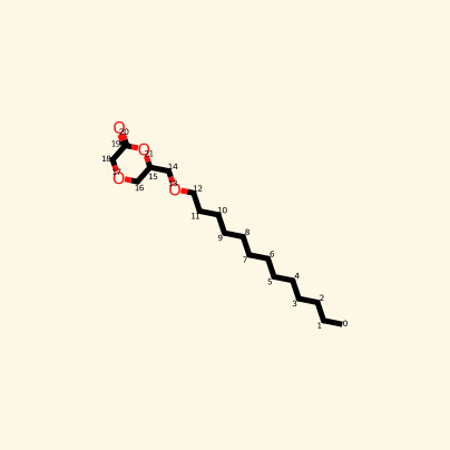 CCCCCCCCCCCCCOCC1COCC(=O)O1